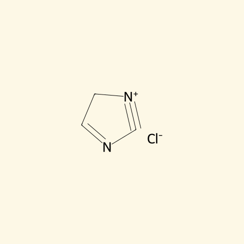 C1#[N+]CC=N1.[Cl-]